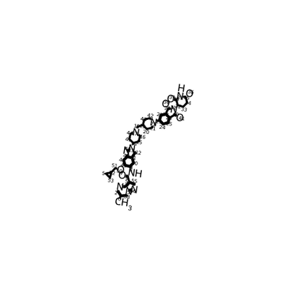 Cc1cnc2c(C(=O)Nc3cc4cn(C5CCN(CC6CCN(c7ccc8c(c7)C(=O)N(C7CCC(=O)NC7=O)C8=O)CC6)CC5)nc4cc3OCC3CC3)cnn2c1